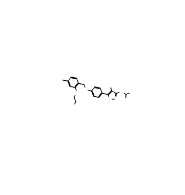 Cn1nc(OC(F)F)c(Cl)c1-c1ccc(OCc2ccc(Cl)cc2OCCC(=O)O)cc1